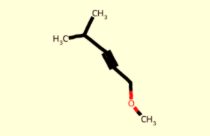 COCC#CC(C)C